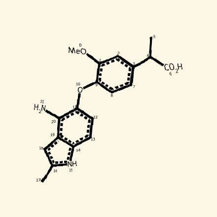 COc1cc(C(C)C(=O)O)ccc1Oc1ccc2[nH]c(C)cc2c1N